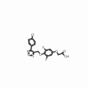 O=C(O)COc1cc(F)c(OCc2snnc2-c2ccc(Cl)cc2)c(F)c1